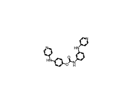 O=C(Nc1cccc(Nc2ccncc2)c1)Oc1ccc(Nc2ccncc2)cc1